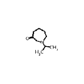 CC(C)N1CCCCC(=O)C1